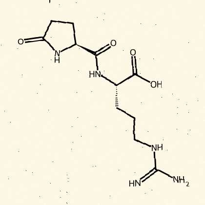 N=C(N)NCCC[C@H](NC(=O)[C@@H]1CCC(=O)N1)C(=O)O